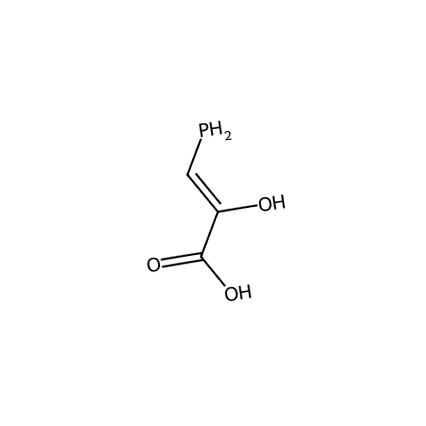 O=C(O)C(O)=CP